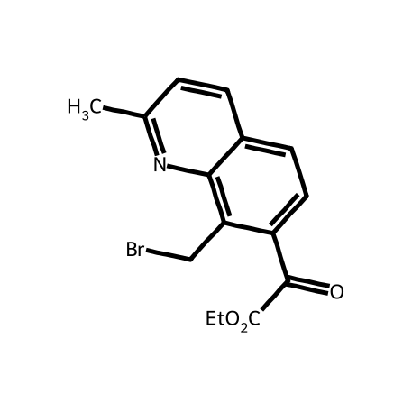 CCOC(=O)C(=O)c1ccc2ccc(C)nc2c1CBr